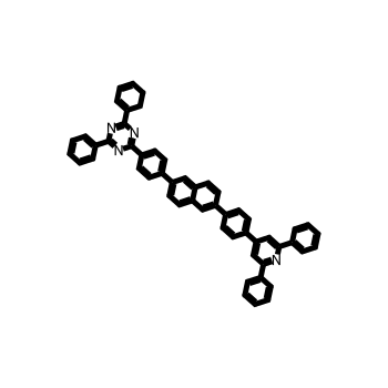 C1=CCCC(c2nc(-c3ccccc3)nc(-c3ccc(-c4ccc5cc(-c6ccc(-c7cc(-c8ccccc8)nc(-c8ccccc8)c7)cc6)ccc5c4)cc3)n2)=C1